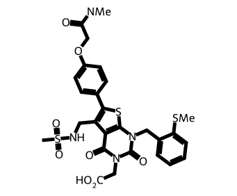 CNC(=O)COc1ccc(-c2sc3c(c2CNS(C)(=O)=O)c(=O)n(CC(=O)O)c(=O)n3Cc2ccccc2SC)cc1